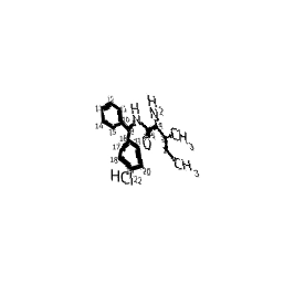 CC[C@H](C)[C@H](N)C(=O)NC(c1ccccc1)c1ccccc1.Cl